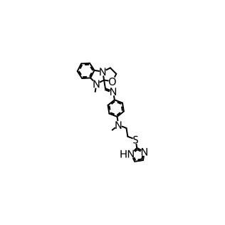 CN(CCSc1ncc[nH]1)c1ccc(/N=C/C23OCCN2c2ccccc2N3C)cc1